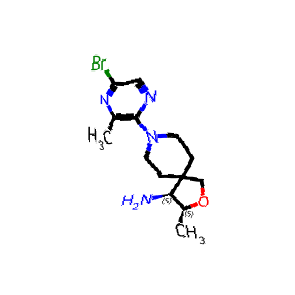 Cc1nc(Br)cnc1N1CCC2(CC1)CO[C@@H](C)[C@H]2N